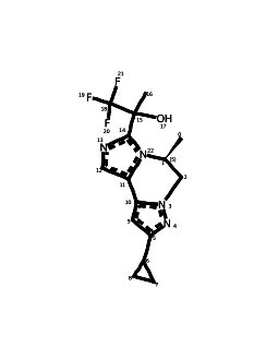 C[C@H]1Cn2nc(C3CC3)cc2-c2cnc(C(C)(O)C(F)(F)F)n21